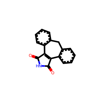 O=C1NC(=O)C2=C1c1ccccc1Cc1ccccc12